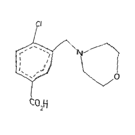 O=C(O)c1ccc(Cl)c(CN2CCOCC2)c1